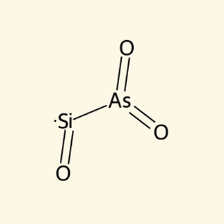 O=[Si][As](=O)=O